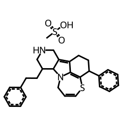 C1=CSC2=C3C(=C4CNCC(CCc5ccccc5)C4N3C1)CCC2c1ccccc1.CS(=O)(=O)O